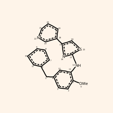 COc1ccc(Cc2ccccc2)cc1Nc1nc(-c2cccnc2)cs1